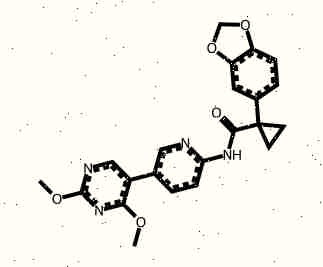 COc1ncc(-c2ccc(NC(=O)C3(c4ccc5c(c4)OCO5)CC3)nc2)c(OC)n1